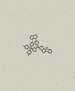 Cc1ccc([Si](c2ccc(C)cc2)(c2ccc(C)cc2)c2cccc(N(c3ccc(-c4cccc5ccccc45)cc3)c3ccc4c(ccc5c6ccccc6oc45)c3)c2)cc1